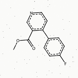 COC(=O)c1cnccc1-c1ccc(F)cc1